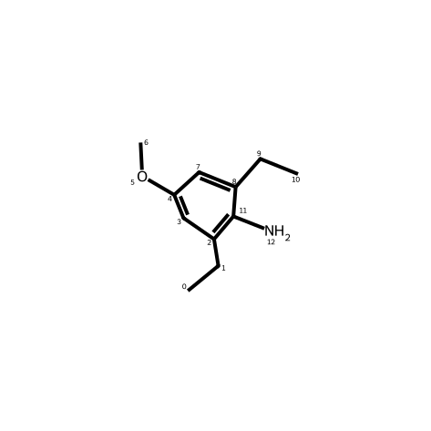 CCc1cc(OC)cc(CC)c1N